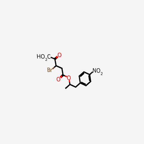 CC(Cc1ccc([N+](=O)[O-])cc1)OC(=O)CC(Br)C(=O)C(=O)O